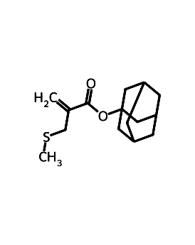 C=C(CSC)C(=O)OC12CC3CC(CC(C3)C1)C2